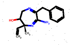 C=C[C@@]1(C)N=C(N)C(Cc2ccccc2)=NCC1O